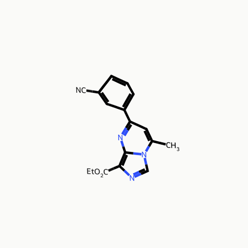 CCOC(=O)c1ncn2c(C)cc(-c3cccc(C#N)c3)nc12